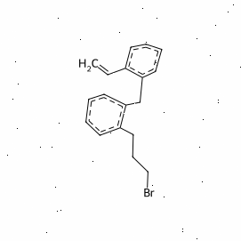 C=Cc1ccccc1Cc1ccccc1CCCBr